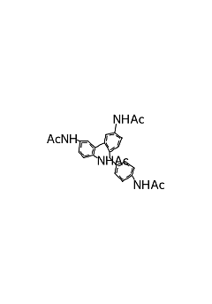 CC(=O)Nc1ccc(Cc2ccc(NC(C)=O)cc2-c2cc(NC(C)=O)ccc2NC(C)=O)cc1